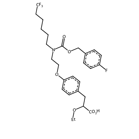 CCOC(Cc1ccc(OCCN(CCCCCC(F)(F)F)C(=O)OCc2ccc(F)cc2)cc1)C(=O)O